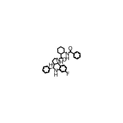 O=C(N[C@@H]1CCCCC1C(=O)N1CC[C@@H]2[C@H](c3ccccc3)Nc3cc(F)ccc3[C@@H]21)c1ccccc1